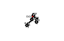 CCOC(=O)N1C2CNC[C@@H]1C(C(=O)NC1(Cc3ccccc3Cl)CC1)=C(c1ccc(CCCOc3c(F)ccc(F)c3F)cc1)C2